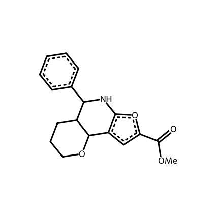 COC(=O)c1cc2c(o1)NC(c1ccccc1)C1CCCOC21